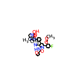 COCOc1cc(F)ccc1-c1cc(-c2cccc(NC(=O)[C@]3(C(C)(C)C)CCCN3C(=O)O)c2)c(C#N)c(NC(=O)c2ccco2)n1